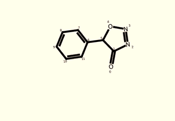 O=C1N=NOC1c1ccccc1